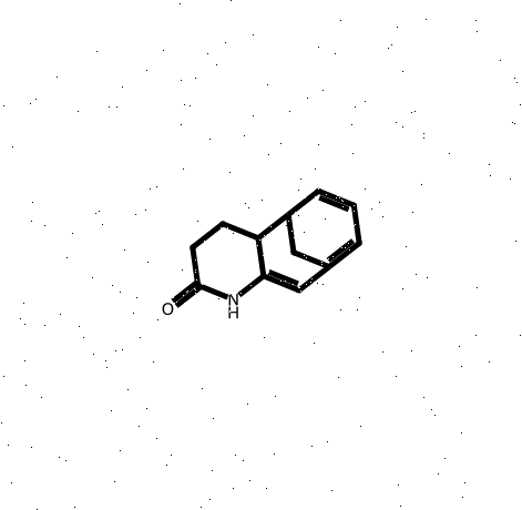 O=C1CCC2C(=CC3=CC=CC2C3)N1